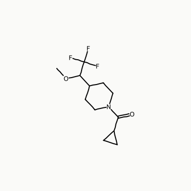 COC(C1CCN(C(=O)C2CC2)CC1)C(F)(F)F